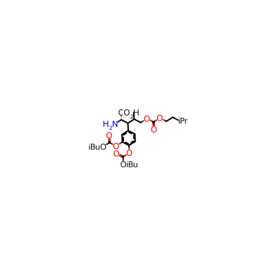 CC(C)CCOC(=O)OCC(C)C(c1ccc(OC(=O)OCC(C)C)c(OC(=O)OCC(C)C)c1)[C@H](N)C(=O)O